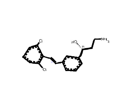 NCC[C@@H](O)c1cccc(/C=C/c2c(Cl)cccc2Cl)c1